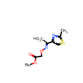 Cc1nc(/C(=N/OCC(=O)OC(C)(C)C)C(=O)O)cs1